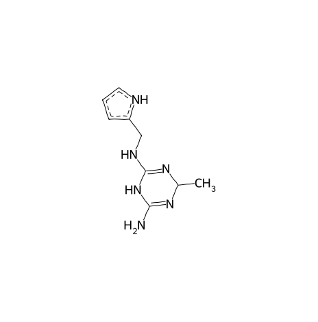 CC1N=C(N)NC(NCc2ccc[nH]2)=N1